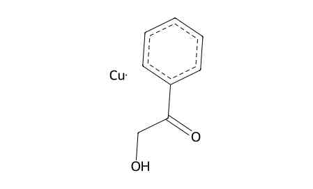 O=C(CO)c1ccccc1.[Cu]